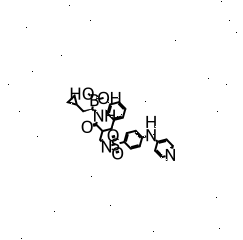 O=C(N[C@@H](CC1CC1)B(O)O)C(/C=N\S(=O)(=O)c1ccc(Nc2ccncc2)cc1)Cc1ccccc1